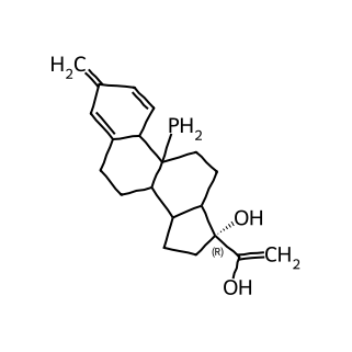 C=C1C=CC2C(=C1)CCC1C3CC[C@](O)(C(=C)O)C3CCC21P